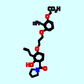 C=CCc1c(OCCCOc2cccc(OCC(=O)O)c2CCC)ccc(C(=O)N2CCCC2)c1O